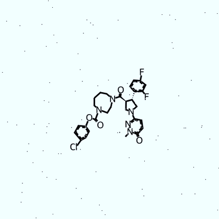 Cn1nc(N2C[C@@H](C(=O)N3CCCCN(C(=O)Oc4ccc(Cl)cc4)CC3)[C@H](c3ccc(F)cc3F)C2)ccc1=O